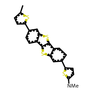 CNc1ccc(-c2ccc3c(c2)sc2c4ccc(-c5ccc(C)s5)cc4sc32)s1